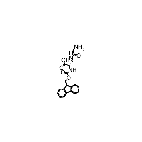 NCC(=O)NC[C@H](NC(=O)OCC1c2ccccc2-c2ccccc21)C(=O)O